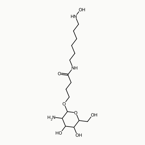 NC1C(OCCCC(=O)NCCCCCCNO)OC(CO)C(O)C1O